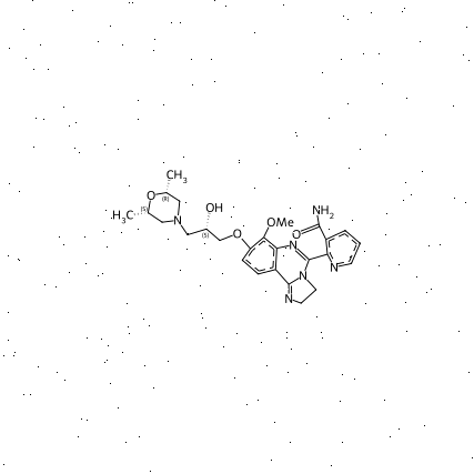 COc1c(OC[C@@H](O)CN2C[C@@H](C)O[C@@H](C)C2)ccc2c1N=C(c1ncccc1C(N)=O)N1CCN=C21